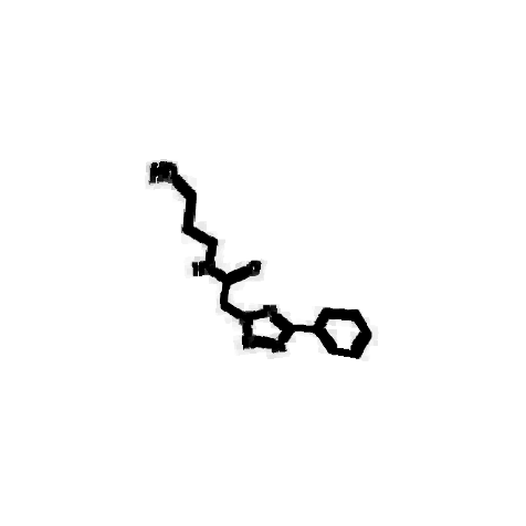 O=C(Cn1nnc(-c2ccccc2)n1)NCCCO